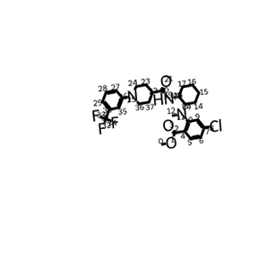 COC(=O)c1ccc(Cl)cc1N(C)[C@H]1CCCC[C@@H]1NC(=O)C1CCN(c2cccc(C(F)(F)F)c2)CC1